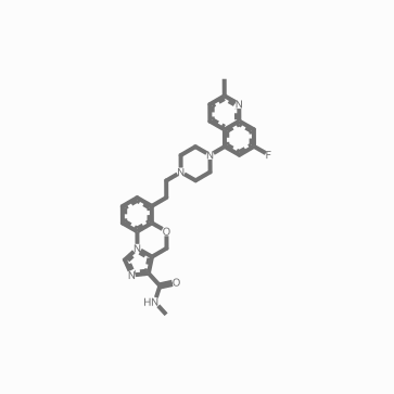 CNC(=O)c1ncn2c1COc1c(CCN3CCN(c4cc(F)cc5nc(C)ccc45)CC3)cccc1-2